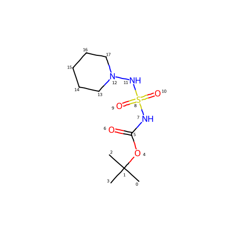 CC(C)(C)OC(=O)NS(=O)(=O)NN1CCCCC1